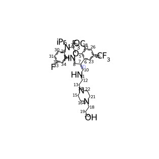 CC(C)N(C(=O)Oc1c(/C(C=N)=C/NCCN2CCN(CCO)CC2)cc(C(F)(F)F)cc1C(F)(F)F)c1ccc(F)cc1